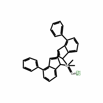 CC1=Cc2c(-c3ccccc3)cccc2[CH]1[Zr]([CH3])([CH3])(=[GeH2])[CH]1C(C)=Cc2c(-c3ccccc3)cccc21.Cl.Cl